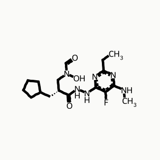 CCc1nc(NC)c(F)c(NNC(=O)[C@H](CC2CCCC2)CN(O)C=O)n1